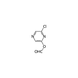 O=COc1cncc(Cl)n1